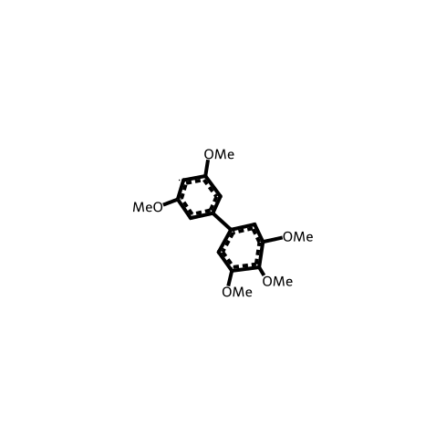 COc1[c]c(OC)cc(-c2cc(OC)c(OC)c(OC)c2)c1